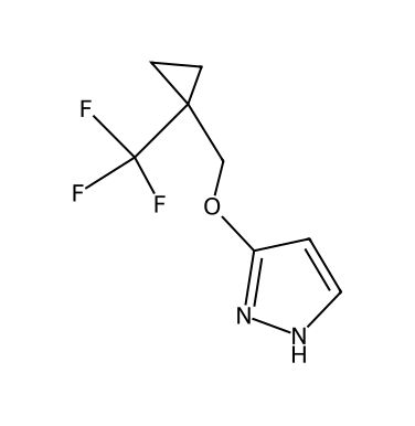 FC(F)(F)C1(COc2cc[nH]n2)CC1